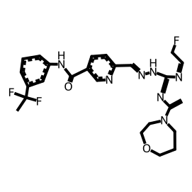 C=C(/N=C(\N=C/CF)N/N=C/c1ccc(C(=O)Nc2cccc(C(C)(F)F)c2)cn1)N1CCCOCC1